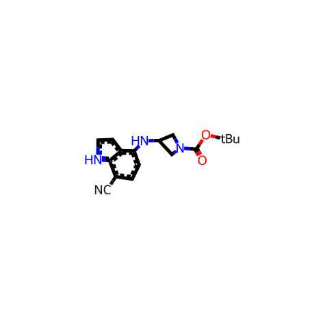 CC(C)(C)OC(=O)N1CC(Nc2ccc(C#N)c3[nH]ccc23)C1